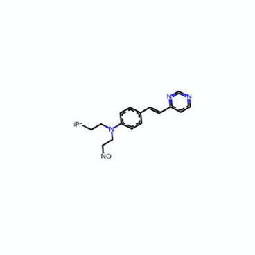 CC(C)CCN(CCN=O)c1ccc(/C=C/c2ccncn2)cc1